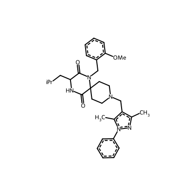 COc1ccccc1CN1C(=O)C(CC(C)C)NC(=O)C12CCN(Cc1c(C)nn(-c3ccccc3)c1C)CC2